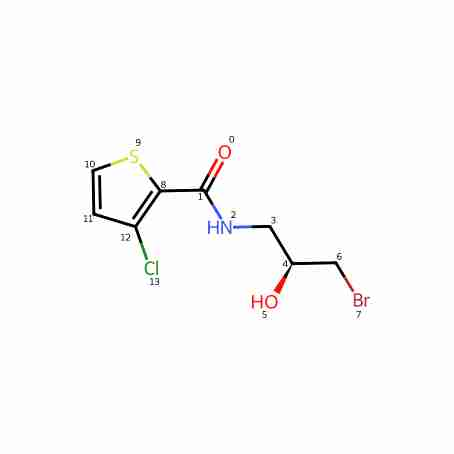 O=C(NC[C@H](O)CBr)c1sccc1Cl